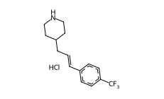 Cl.FC(F)(F)c1ccc(C=CCC2CCNCC2)cc1